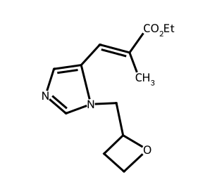 CCOC(=O)/C(C)=C/c1cncn1CC1CCO1